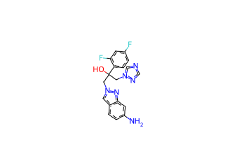 Nc1ccc2cn(CC(O)(Cn3cncn3)c3ccc(F)cc3F)nc2c1